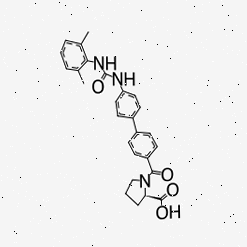 Cc1cccc(C)c1NC(=O)Nc1ccc(-c2ccc(C(=O)N3CCC[C@@H]3C(=O)O)cc2)cc1